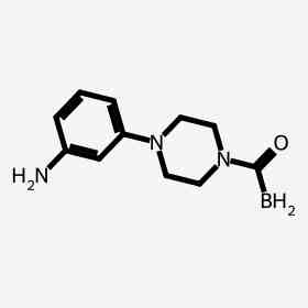 BC(=O)N1CCN(c2cccc(N)c2)CC1